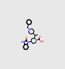 CC(C1CCN(Cc2ccccc2)CC1)C1CC(n2c(=O)[nH]c3ccccc32)CCN1C(=O)O